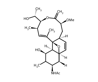 C=C1O[C@H]([C@@H](C)O)[C@H](C)/C=C(\C)[C@]23O[C@@H]4[C@H](C=C[C@@H]2C[C@@H]1OC)[C@H]3[C@H](O)C(C)[C@@H]4NC(C)=O